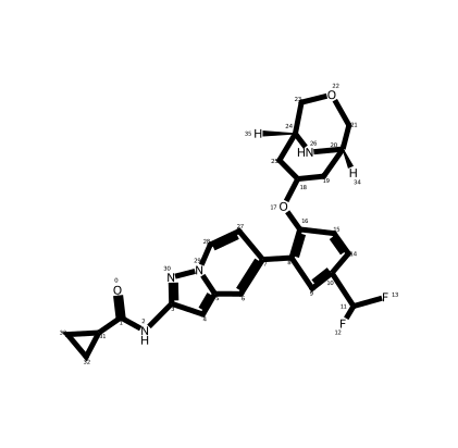 O=C(Nc1cc2cc(-c3cc(C(F)F)ccc3OC3C[C@H]4COC[C@@H](C3)N4)ccn2n1)C1CC1